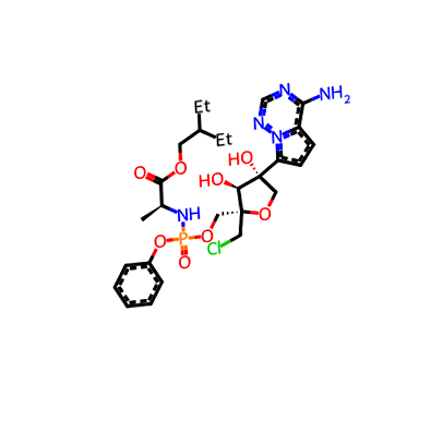 CCC(CC)COC(=O)[C@H](C)NP(=O)(OC[C@@]1(CCl)OC[C@](O)(c2ccc3c(N)ncnn23)[C@@H]1O)Oc1ccccc1